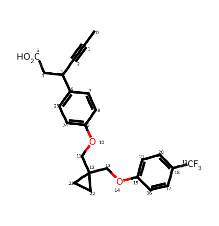 CC#CC(CC(=O)O)c1ccc(OCC2(COc3ccc(C(F)(F)F)cc3)CC2)cc1